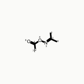 CC(C)=NOC(=O)F